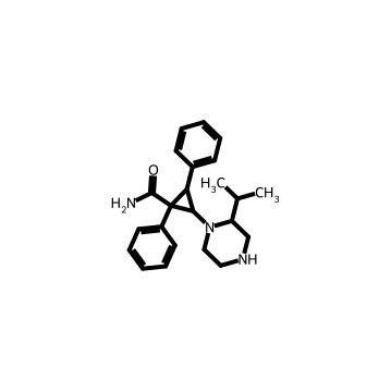 CC(C)C1CNCCN1C1C(c2ccccc2)C1(C(N)=O)c1ccccc1